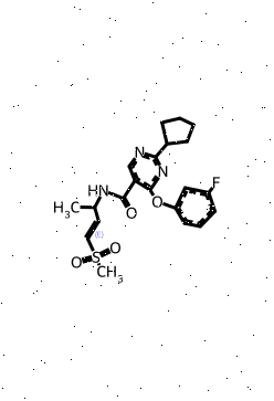 CC(/C=C/S(C)(=O)=O)NC(=O)c1cnc(C2CCCC2)nc1Oc1cccc(F)c1